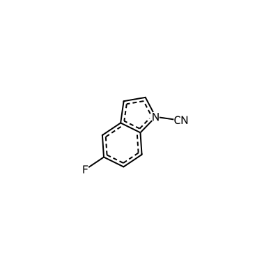 N#Cn1ccc2cc(F)ccc21